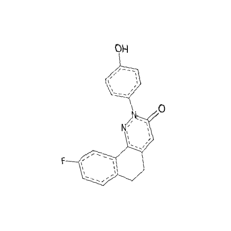 O=c1cc2c(nn1-c1ccc(O)cc1)-c1cc(F)ccc1CC2